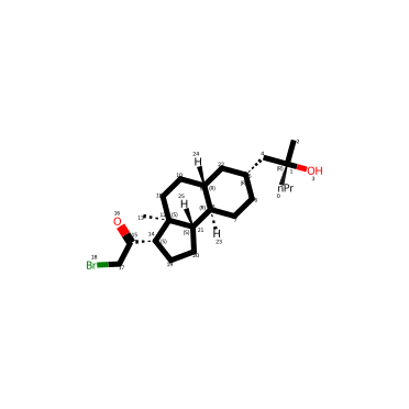 CCC[C@@](C)(O)C[C@@H]1CC[C@@H]2[C@H](CC[C@]3(C)[C@@H](C(=O)CBr)CC[C@@H]23)C1